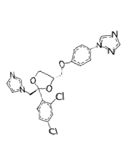 Clc1ccc([C@]2(Cn3ccnc3)OC[C@H](COc3ccc(-n4cncn4)cc3)O2)c(Cl)c1